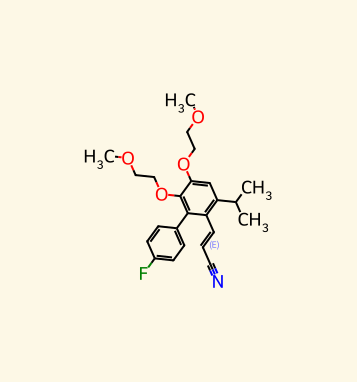 COCCOc1cc(C(C)C)c(/C=C/C#N)c(-c2ccc(F)cc2)c1OCCOC